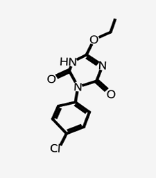 CCOc1nc(=O)n(-c2ccc(Cl)cc2)c(=O)[nH]1